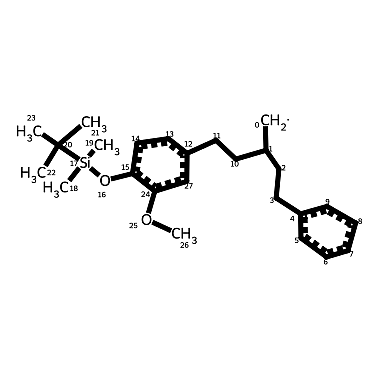 [CH2]C(CCc1ccccc1)CCc1ccc(O[Si](C)(C)C(C)(C)C)c(OC)c1